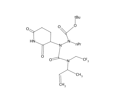 C=CC(C)N(CC(F)(F)F)C(=O)N(C1CCC(=O)NC1=O)N(CCC)C(=O)OC(C)(C)C